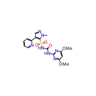 COc1cc(OC)nc(NC(=O)NS(=O)(=O)c2c(-c3ccccn3)cnn2C)n1